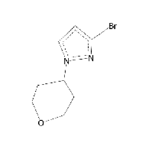 Brc1ccn(C2CCOCC2)n1